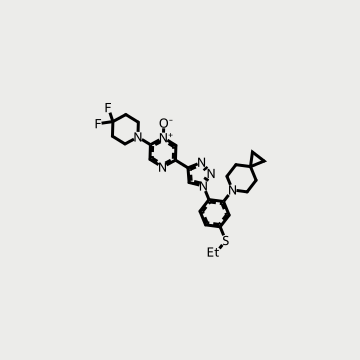 CCSc1ccc(-n2cc(-c3c[n+]([O-])c(N4CCC(F)(F)CC4)cn3)nn2)c(N2CCC3(CC2)CC3)c1